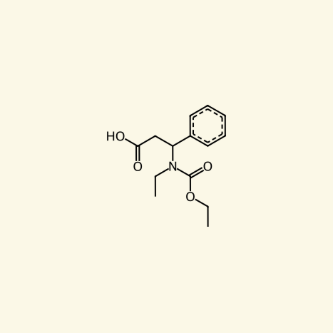 CCOC(=O)N(CC)C(CC(=O)O)c1ccccc1